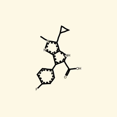 Cn1nc2c(-c3ccc(F)cc3)c(C(=O)O)[nH]c2c1C1CC1